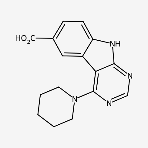 O=C(O)c1ccc2[nH]c3ncnc(N4CCCCC4)c3c2c1